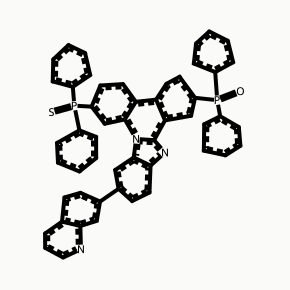 O=P(c1ccccc1)(c1ccccc1)c1ccc2c3ccc(P(=S)(c4ccccc4)c4ccccc4)cc3n3c4cc(-c5ccc6cccnc6c5)ccc4nc3c2c1